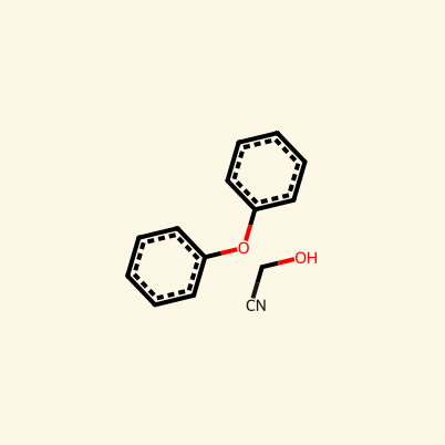 N#CCO.c1ccc(Oc2ccccc2)cc1